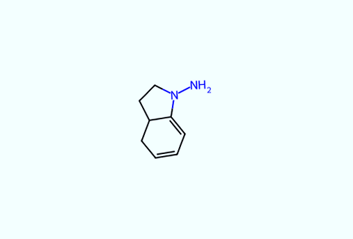 NN1CCC2CC=CC=C21